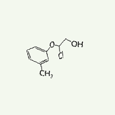 Cc1cccc(OC(Cl)CO)c1